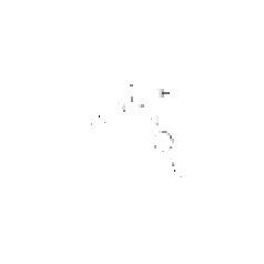 CC(C)N1CCN(C(=O)[C@H]2CCN(c3ccc(C#N)cc3)C2)CC1.Cl